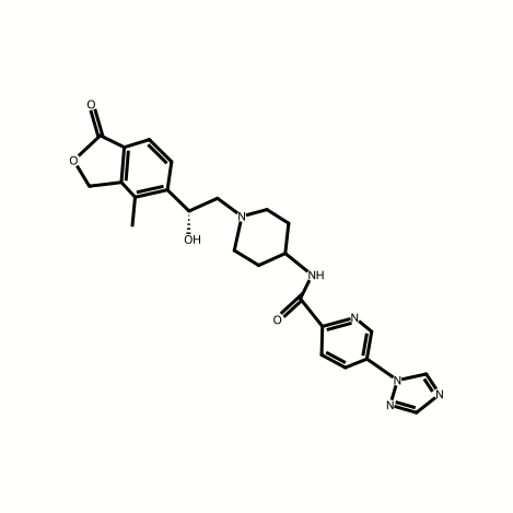 Cc1c([C@@H](O)CN2CCC(NC(=O)c3ccc(-n4cncn4)cn3)CC2)ccc2c1COC2=O